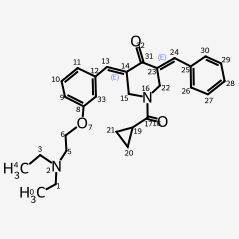 CCN(CC)CCOc1cccc(/C=C2\CN(C(=O)C3CC3)C/C(=C\c3ccccc3)C2=O)c1